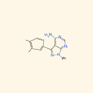 Cc1ccc(-c2nn(C(C)C)c3ncnc(N)c23)cc1C